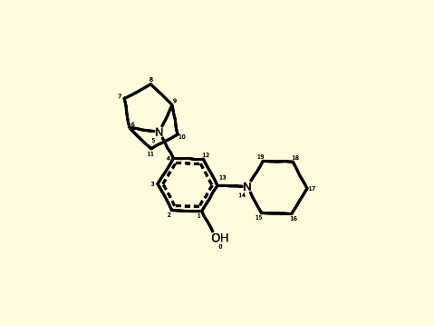 Oc1ccc(N2C3CCC2CC3)cc1N1CCCCC1